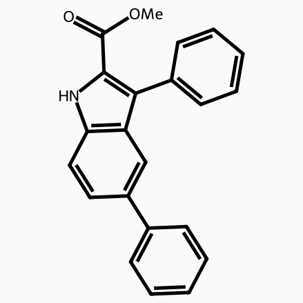 COC(=O)c1[nH]c2ccc(-c3ccccc3)cc2c1-c1ccccc1